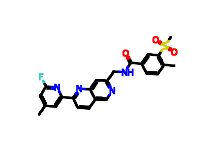 Cc1cc(F)nc(-c2ccc3cnc(CNC(=O)c4ccc(C)c(S(C)(=O)=O)c4)cc3n2)c1